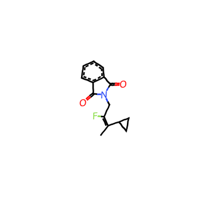 CC(=C(F)CN1C(=O)c2ccccc2C1=O)C1CC1